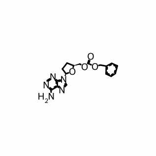 Nc1ncnc2c1ncn2[C@H]1CC[C@@H](COC(=O)OCc2ccccc2)O1